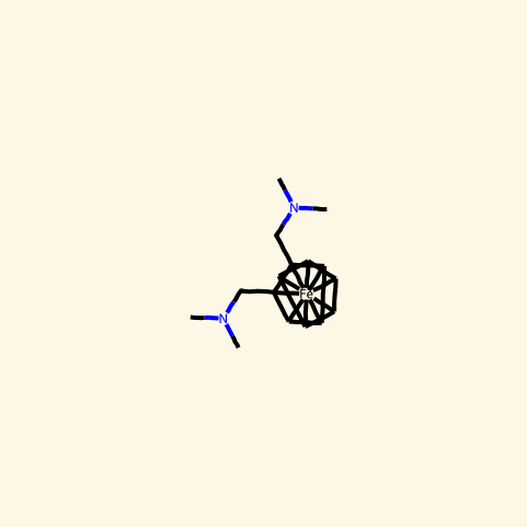 CN(C)C[C]12[CH]3[CH]4[CH]5[C]1(CN(C)C)[Fe]43521678[CH]2[CH]1[CH]6[CH]7[CH]28